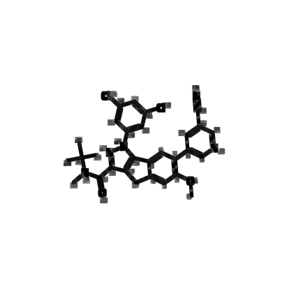 COc1cc2c(cc1-c1cncc(C#N)c1)-c1c(c(C(=O)N(C)C(C)(C)C)nn1-c1cc(Cl)cc(Cl)c1)C2